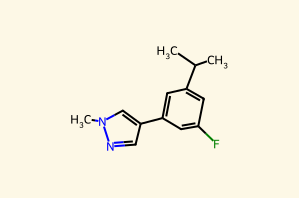 CC(C)c1cc(F)cc(-c2cnn(C)c2)c1